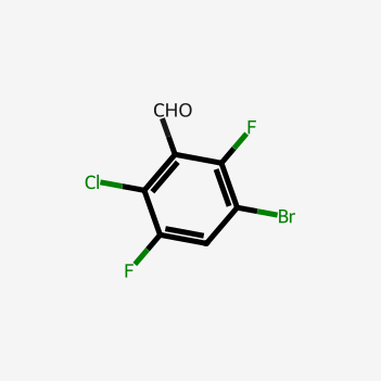 O=Cc1c(F)c(Br)cc(F)c1Cl